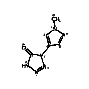 Cn1cc(-n2nn[nH]c2=O)cn1